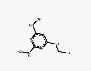 CCNc1nc(NO)nc(NO)n1